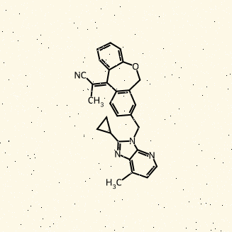 C/C(C#N)=C1\c2ccc(Cn3c(C4CC4)nc4c(C)ccnc43)cc2COc2ccccc21